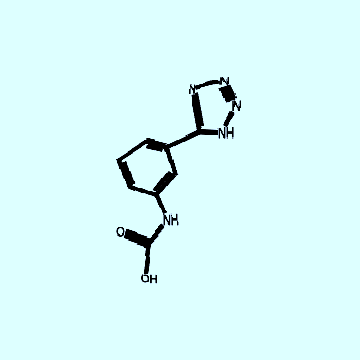 O=C(O)Nc1cccc(-c2nnn[nH]2)c1